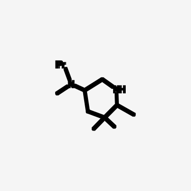 CC(C)N(C)C1CNC(C)C(C)(C)C1